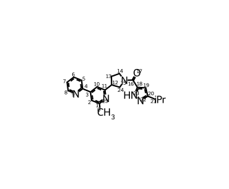 Cc1cc(-c2ccccn2)cc(C2CCN(C(=O)c3cc(C(C)C)n[nH]3)C2)n1